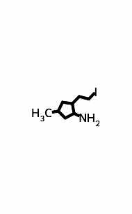 CC1CC(N)C(CCI)C1